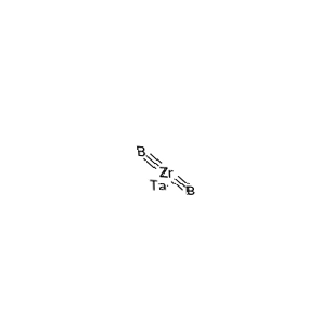 [B]#[Zr]#[B].[Ta]